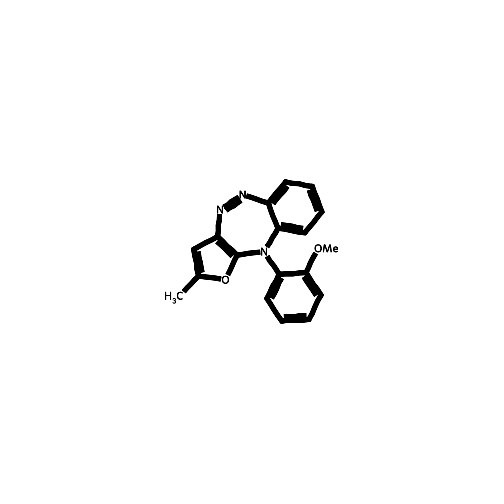 COc1ccccc1N1c2ccccc2N=Nc2cc(C)oc21